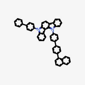 c1ccc(-c2ccc(-n3c4ccccc4c4c3ccc3c5ccccc5n(-c5ccc(-c6ccc(-c7cccc8ccccc78)cc6)cc5)c34)cc2)cc1